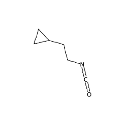 O=C=NCCC1CC1